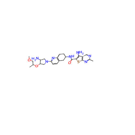 COCC(C)OC1CN(c2ccc3c(n2)CCC(NC(=O)c2sc4nc(C)ncc4c2N)C3)CC1N